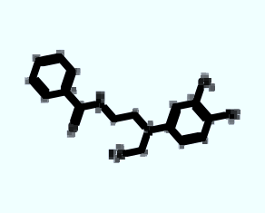 [C-]#[N+]c1ccc(N(CCNC(=O)c2ccccc2)CC(F)(F)F)cc1C(F)(F)F